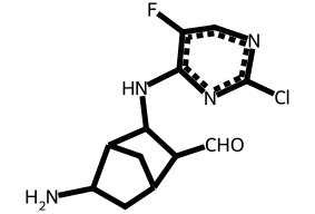 NC1CC2CC1C(Nc1nc(Cl)ncc1F)C2C=O